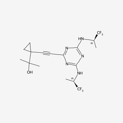 C[C@@H](Nc1nc(C#CC2(C(C)(C)O)CC2)nc(N[C@H](C)C(F)(F)F)n1)C(F)(F)F